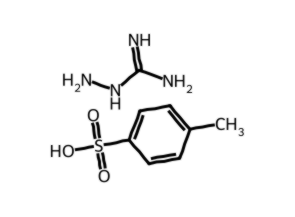 Cc1ccc(S(=O)(=O)O)cc1.N=C(N)NN